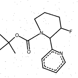 CC(C)(C)OC(=O)N1CCCC(F)C1c1ccccn1